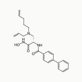 C=CCCCN(CC=C)C[C@H](NC(=O)c1ccc(-c2ccccc2)cc1)C(=O)NO